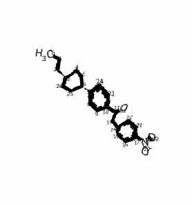 CCC[C@H]1CC[C@H](c2ccc(C(=O)Cc3ccc([N+](=O)[O-])cc3)cc2)CC1